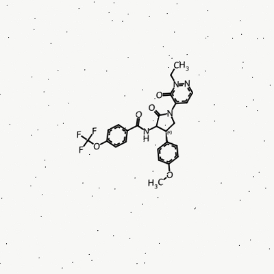 CCn1nccc(N2C[C@@H](c3ccc(OC)cc3)C(NC(=O)c3ccc(OC(F)(F)F)cc3)C2=O)c1=O